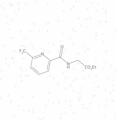 CCOC(=O)CNC(=O)c1cccc(C(F)(F)F)n1